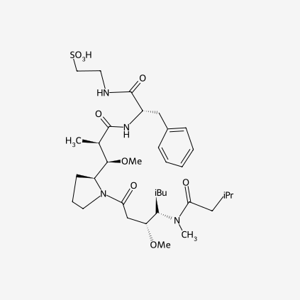 CC[C@H](C)[C@@H]([C@@H](CC(=O)N1CCC[C@H]1[C@H](OC)[C@@H](C)C(=O)N[C@@H](Cc1ccccc1)C(=O)NCCS(=O)(=O)O)OC)N(C)C(=O)CC(C)C